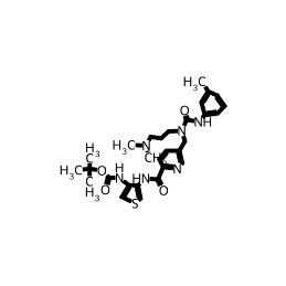 Cc1cccc(NC(=O)N(CCCN(C)C)Cc2ccc(C(=O)Nc3cscc3NC(=O)OC(C)(C)C)nc2)c1